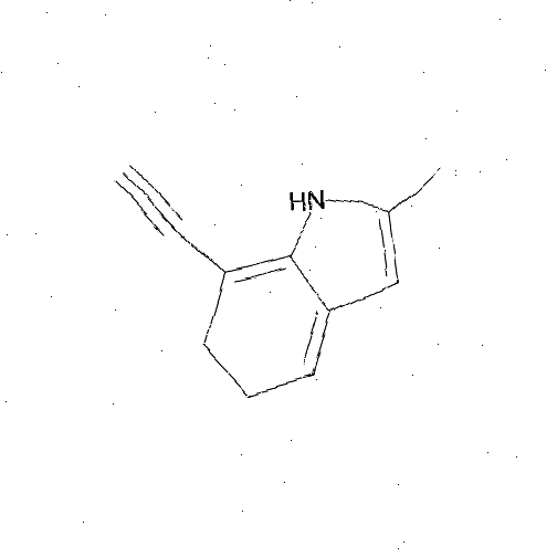 C#CC1=c2[nH]c(C)cc2=CCC1